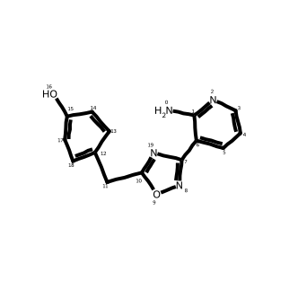 Nc1ncccc1-c1noc(Cc2ccc(O)cc2)n1